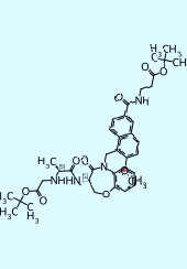 COc1ccc2cc(C(=O)NCCC(=O)OC(C)(C)C)ccc2c1CN1C(=O)[C@@H](NC(=O)[C@H](C)NCC(=O)OC(C)(C)C)COc2ccccc21